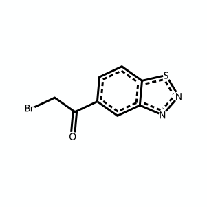 O=C(CBr)c1ccc2snnc2c1